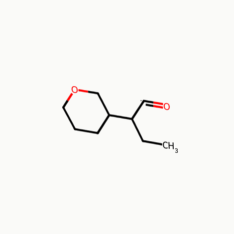 CCC([C]=O)C1CCCOC1